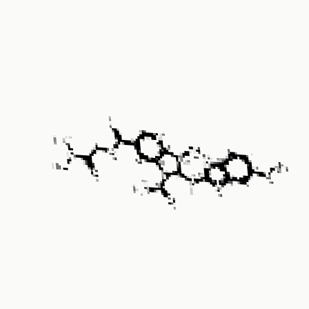 CN(C)C(=O)COC(=O)c1cnc2c(c1)N(C(N)=O)C(Nc1nc3ccc(OC(F)(F)F)cc3s1)N2C